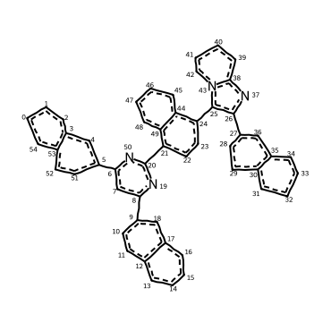 c1ccc2cc(-c3cc(-c4ccc5ccccc5c4)nc(-c4ccc(-c5c(-c6ccc7ccccc7c6)nc6ccccn56)c5ccccc45)n3)ccc2c1